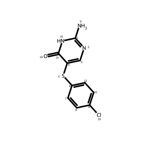 Nc1ncc(Sc2ccc(Cl)cc2)c(=O)[nH]1